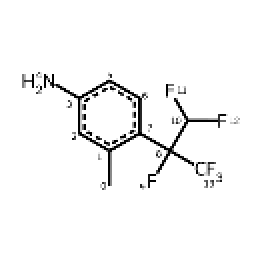 Cc1cc(N)ccc1C(F)(C(F)F)C(F)(F)F